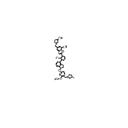 COc1nc(O[C@@H]2CCc3c(-c4cccc(-c5nc6cc(CN7CC[C@@H](O)C7)cc(C#N)c6o5)c4Cl)cccc32)ccc1CN1CC[C@@H](C)C1